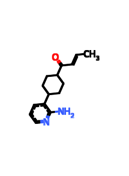 C/C=C/C(=O)C1CCC(c2cccnc2N)CC1